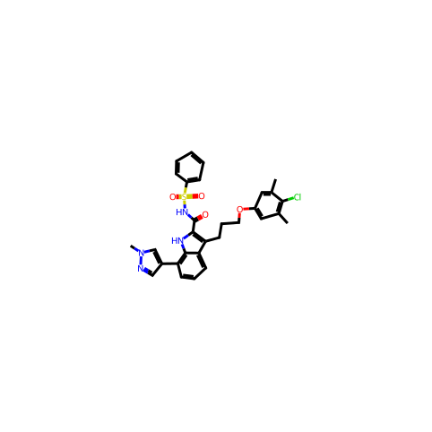 Cc1cc(OCCCc2c(C(=O)NS(=O)(=O)c3ccccc3)[nH]c3c(-c4cnn(C)c4)cccc23)cc(C)c1Cl